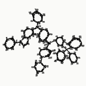 c1ccc(-n2ccc3c4c5cc(N(c6ccc(-c7ncncn7)cc6)c6ccc7c(c6)C(c6ccccc6)(c6ccccc6)c6ccccc6-7)ccc5n(-c5ccccc5)c4ccc32)cc1